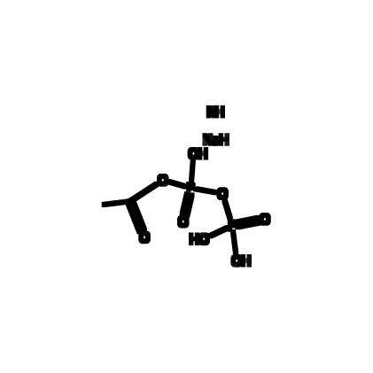 CC(=O)OP(=O)(O)OP(=O)(O)O.[KH].[NaH]